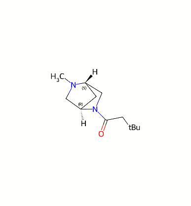 CN1C[C@H]2C[C@H]1CN2C(=O)CC(C)(C)C